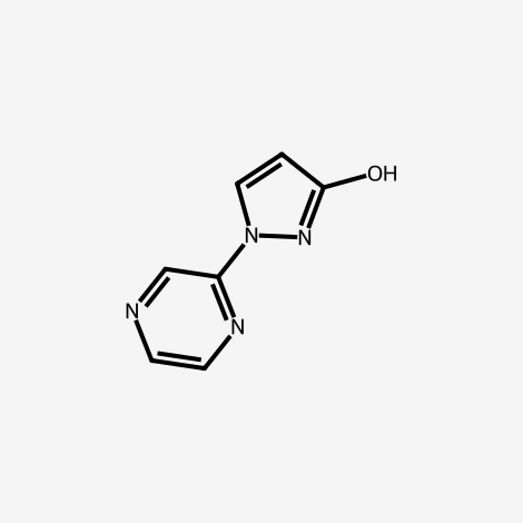 Oc1ccn(-c2cnccn2)n1